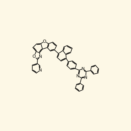 c1ccc(-c2nc(-c3ccccc3)nc(-c3ccc(-c4ccc(-c5ccc6oc7ccc8oc(-c9cccnc9)nc8c7c6c5)c5ccccc45)cc3)n2)cc1